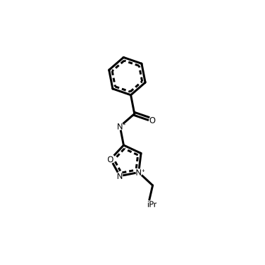 CC(C)C[n+]1cc([N-]C(=O)c2ccccc2)on1